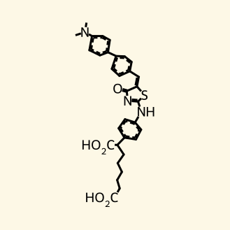 CN(C)c1ccc(-c2ccc(/C=C3/SC(Nc4ccc(C(CCCCCC(=O)O)C(=O)O)cc4)=NC3=O)cc2)cc1